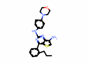 CCCc1ccccc1-c1nc(Nc2ccc(N3CCOCC3)cc2)nc2c(N)csc12